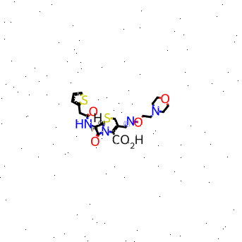 O=C(Cc1cccs1)N[C@@H]1C(=O)N2C(C(=O)O)=C(/C=N/OCCN3CCOCC3)CS[C@H]12